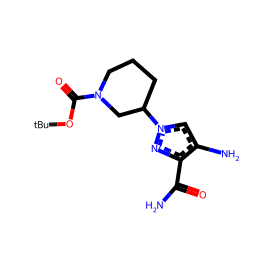 CC(C)(C)OC(=O)N1CCCC(n2cc(N)c(C(N)=O)n2)C1